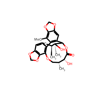 COc1c2c(cc3c1-c1c4cc5c(c1OC[C@@H](C)[C@@H](O)C(=O)OC3[C@@](C)(O)[C@@H](C)C4)OCO5)OCO2